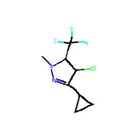 CN1N=C(C2CC2)C(Cl)C1C(F)(F)F